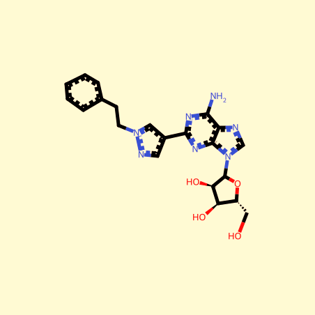 Nc1nc(-c2cnn(CCc3ccccc3)c2)nc2c1ncn2C1O[C@H](CO)[C@@H](O)[C@H]1O